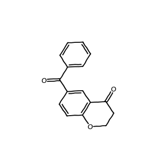 O=C(c1ccccc1)c1ccc2c(c1)C(=O)CCO2